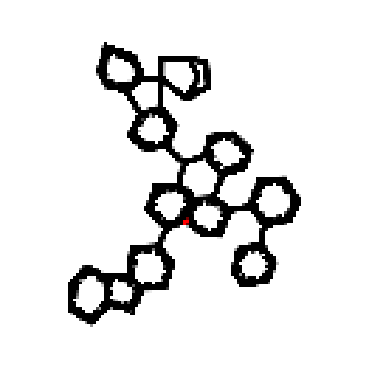 c1ccc(-c2ccccc2-c2ccccc2-c2ccccc2N(c2ccc(-c3ccc4sc5ccccc5c4c3)cc2)c2ccc3c(c2)C2(CC4CCC2C4)c2ccccc2-3)cc1